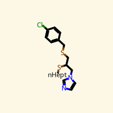 CCCCCCCSC(CSCc1ccc(Cl)cc1)Cn1ccnc1